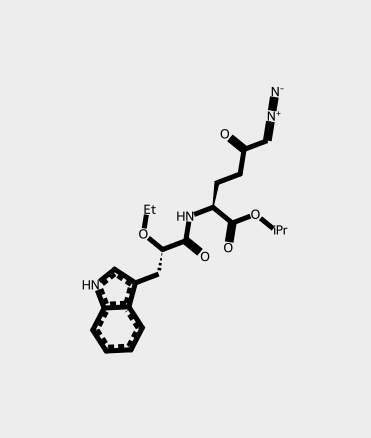 CCO[C@@H](Cc1c[nH]c2ccccc12)C(=O)N[C@@H](CCC(=O)C=[N+]=[N-])C(=O)OC(C)C